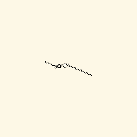 C=CCCCCCOc1ccc(N2CCN(CCCCCCCCCCCCCCCC)CC2)cc1